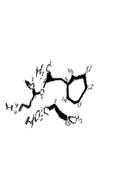 C=CC(=O)O.CC(OC(N)=O)C1CCCCC1